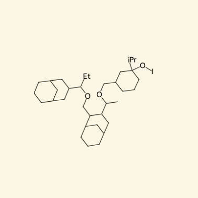 CCC(OCC1C2CCCC(C2)CC1C(C)OCC1CCCC(OI)(C(C)C)C1)C1CC2CCCC(C2)C1